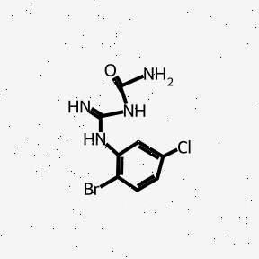 N=C(NC(N)=O)Nc1cc(Cl)ccc1Br